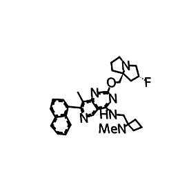 CNC1(CNc2nc(OC[C@@]34CCCN3C[C@H](F)C4)nc3c(C)c(-c4cccc5ccccc45)ncc23)CCC1